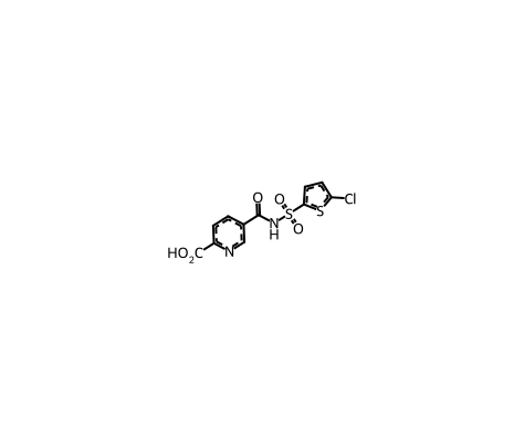 O=C(NS(=O)(=O)c1ccc(Cl)s1)c1ccc(C(=O)O)nc1